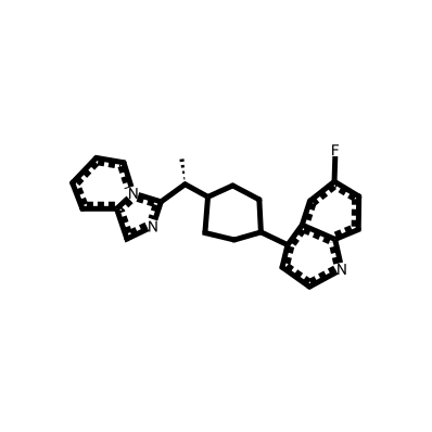 C[C@@H](c1ncc2ccccn12)C1CCC(c2ccnc3ccc(F)cc23)CC1